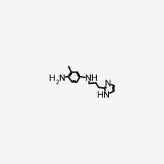 Cc1cc(NCCCc2ncc[nH]2)ccc1N